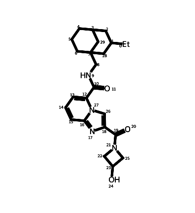 CCC1CC2CCCC(CNC(=O)c3cccc4nc(C(=O)N5CC(O)C5)cn34)(C1)C2